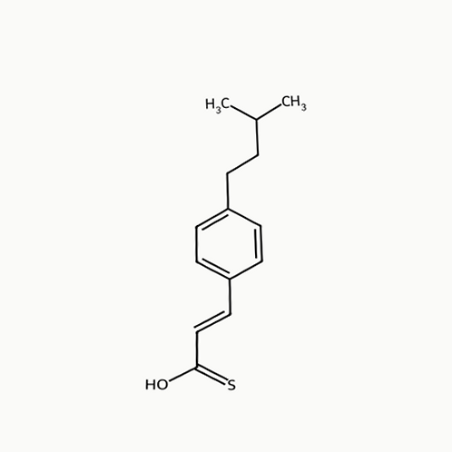 CC(C)CCc1ccc(C=CC(O)=S)cc1